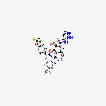 CC(C)(C)C1CCC(N(C(=O)Nc2ccc(OC(F)(F)F)cc2)C2CCOc3cc(C(=O)Nc4nnn[nH]4)c(Br)cc32)CC1